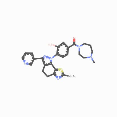 Bc1cc(C(=O)N2CCCN(C)CC2)ccc1-n1nc(-c2cccnc2)c2c1-c1sc(NC(C)=O)nc1CC2